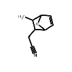 CC1C2C=CC(O2)C1CC#N